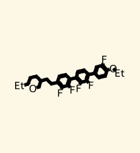 CCOc1ccc(-c2ccc(-c3ccc(CCC4CCC(CC)OC4)c(F)c3F)c(F)c2F)cc1F